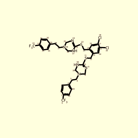 FC(F)(F)c1ccc(CCN2CN=C(SCc3cc(Cl)c(Cl)cc3CSC3=NCN(CCc4ccc(C(F)(F)F)cc4)CN3)NC2)cc1